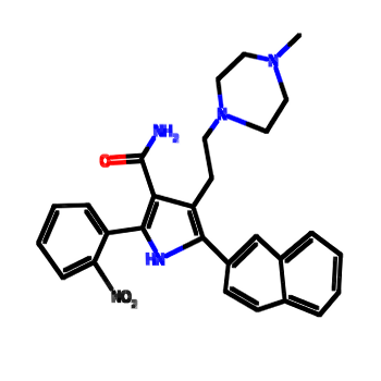 CN1CCN(CCc2c(-c3ccc4ccccc4c3)[nH]c(-c3ccccc3[N+](=O)[O-])c2C(N)=O)CC1